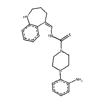 Nc1ccccc1N1CCN(C(=S)N/C=C2/CCCNc3ccccc32)CC1